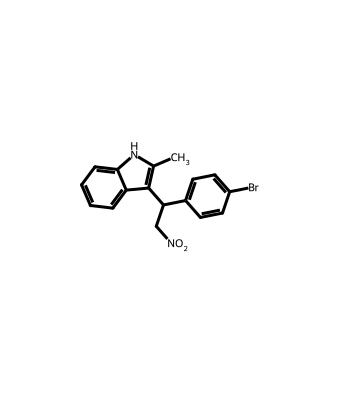 Cc1[nH]c2ccccc2c1C(C[N+](=O)[O-])c1ccc(Br)cc1